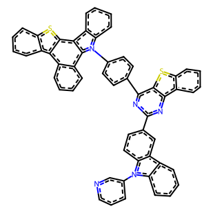 c1cncc(-n2c3ccccc3c3cc(-c4nc(-c5ccc(-n6c7ccccc7c7c8sc9ccccc9c8c8ccccc8c76)cc5)c5sc6ccccc6c5n4)ccc32)c1